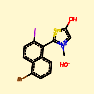 C[n+]1cc(O)sc1-c1c(I)ccc2c(Br)cccc12.[OH-]